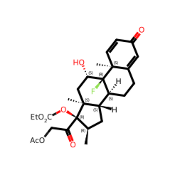 CCOC(=O)O[C@]1(C(=O)COC(C)=O)[C@H](C)C[C@H]2[C@@H]3CCC4=CC(=O)C=C[C@]4(C)[C@@]3(F)[C@@H](O)C[C@@]21C